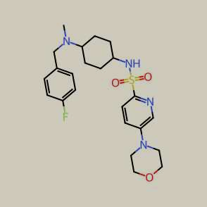 CN(Cc1ccc(F)cc1)C1CCC(NS(=O)(=O)c2ccc(N3CCOCC3)cn2)CC1